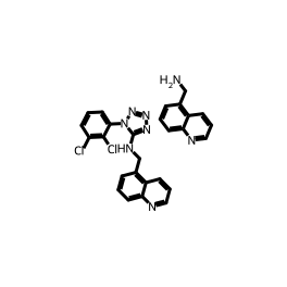 Clc1cccc(-n2nnnc2NCc2cccc3ncccc23)c1Cl.NCc1cccc2ncccc12